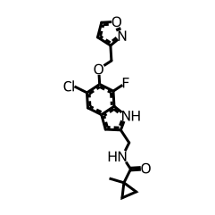 CC1(C(=O)NCc2cc3cc(Cl)c(OCc4ccon4)c(F)c3[nH]2)CC1